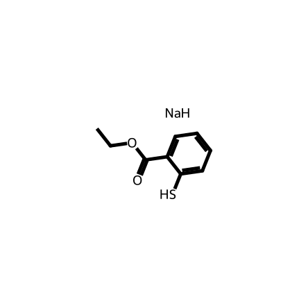 CCOC(=O)c1ccccc1S.[NaH]